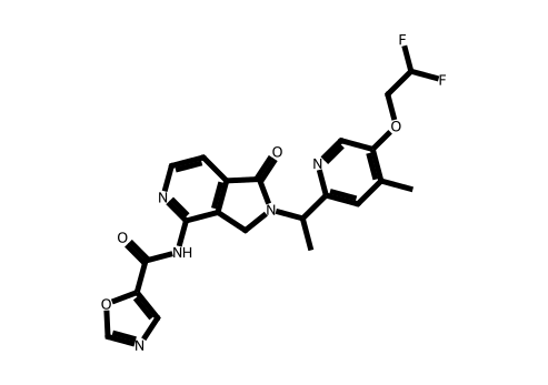 Cc1cc(C(C)N2Cc3c(ccnc3NC(=O)c3cnco3)C2=O)ncc1OCC(F)F